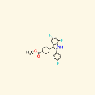 COC(=O)C1CCC(c2c(-c3ccc(F)cc3)[nH]c3c(F)cc(F)cc23)CC1